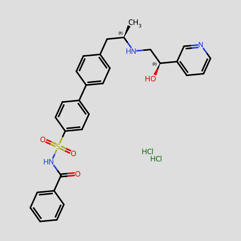 C[C@H](Cc1ccc(-c2ccc(S(=O)(=O)NC(=O)c3ccccc3)cc2)cc1)NC[C@H](O)c1cccnc1.Cl.Cl